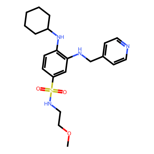 COCCNS(=O)(=O)c1ccc(NC2CCCCC2)c(NCc2ccncc2)c1